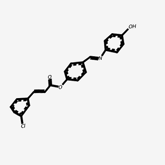 O=C(/C=C/c1cccc(Cl)c1)Oc1ccc(/C=N/c2ccc(O)cc2)cc1